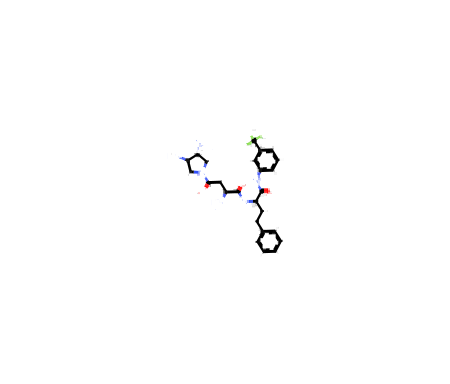 NC(CC(=O)N1CC(N)[C@@H](N)C1)C(=O)NC(CCc1ccccc1)C(=O)Nc1cccc(C(F)(F)F)c1